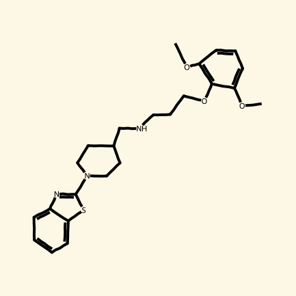 COc1cccc(OC)c1OCCCNCC1CCN(c2nc3ccccc3s2)CC1